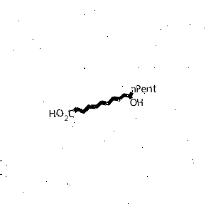 CCCCCC(O)CCCCCCCCCC(=O)O